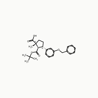 CC(C)(C)OC(=O)N1[C@@H](c2cccc(OCc3ccccc3)c2)CC[C@@]1(C)C(=O)O